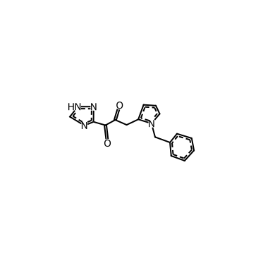 O=C(Cc1cccn1Cc1ccccc1)C(=O)c1nc[nH]n1